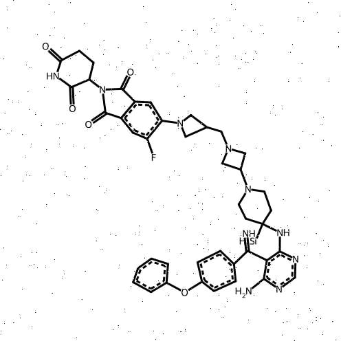 N=C(c1ccc(Oc2ccccc2)cc1)c1c(N)ncnc1NC1([SiH3])CCN(C2CN(CC3CN(c4cc5c(cc4F)C(=O)N(C4CCC(=O)NC4=O)C5=O)C3)C2)CC1